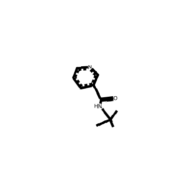 CC(C)(C)NC(=O)c1cc[c]nc1